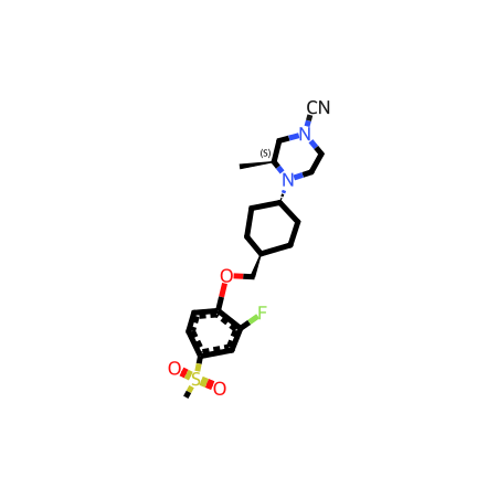 C[C@H]1CN(C#N)CCN1[C@H]1CC[C@H](COc2ccc(S(C)(=O)=O)cc2F)CC1